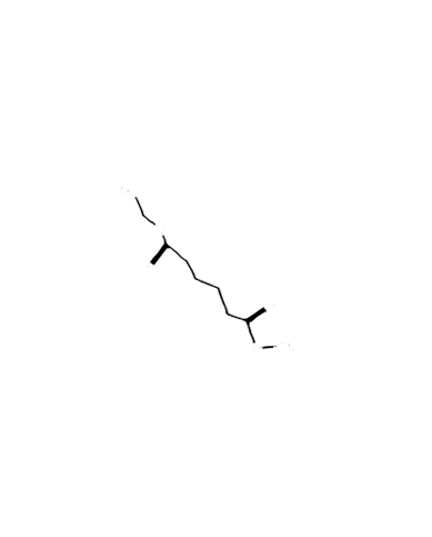 COC(=O)CCCCC(=O)OCO